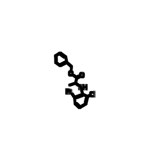 CCc1cccc(Cl)c1NC(C)C(=O)OCc1ccccc1